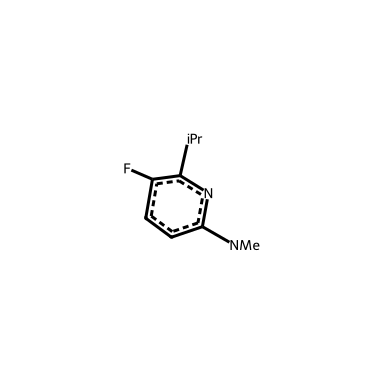 CNc1ccc(F)c(C(C)C)n1